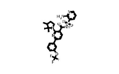 CC1CCN(c2nc(-c3cccc(OC(F)(F)F)c3)ccc2C(=O)NS(=O)(=O)c2cccnc2N)C1(C)C